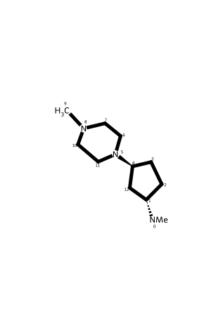 CN[C@H]1CC[C@H](N2CCN(C)CC2)C1